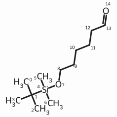 CC(C)(C)[Si](C)(C)OC[CH]CCCC=O